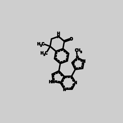 Cn1cc(-c2ncnc3[nH]cc(-c4ccc5c(c4)C(C)(C)CNC5=O)c23)cn1